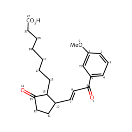 COc1cccc(C(=O)/C=C/C2CCC(=O)C2CCCCCCC(=O)O)c1